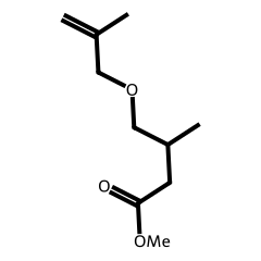 C=C(C)COCC(C)CC(=O)OC